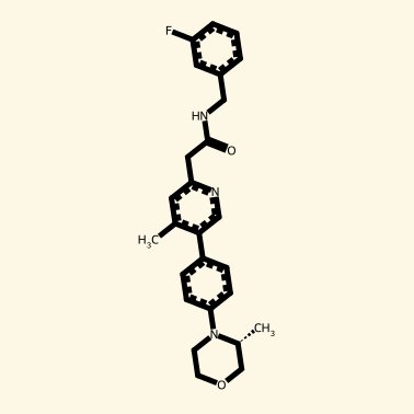 Cc1cc(CC(=O)NCc2cccc(F)c2)ncc1-c1ccc(N2CCOC[C@H]2C)cc1